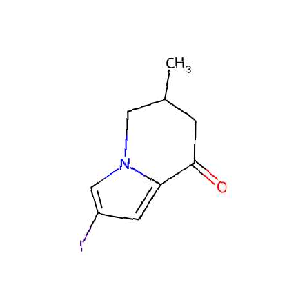 CC1CC(=O)c2cc(I)cn2C1